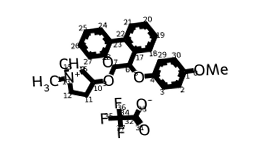 COc1ccc(OC(C(=O)OC2CC[N+](C)(C)C2)c2ccccc2-c2ccccc2)cc1.O=C([O-])C(F)(F)F